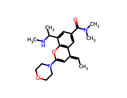 CC=C1C=C(N2CCOCC2)Oc2c1cc(C(=O)N(C)C)cc2C(C)NC